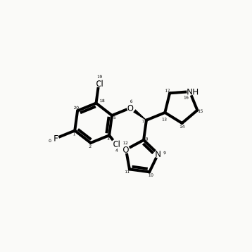 Fc1cc(Cl)c(O[C@H](c2ncco2)C2CCNC2)c(Cl)c1